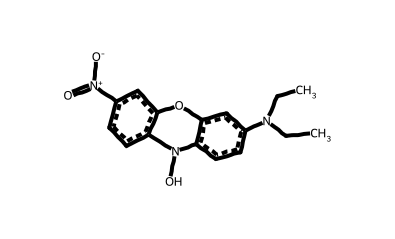 CCN(CC)c1ccc2c(c1)Oc1cc([N+](=O)[O-])ccc1N2O